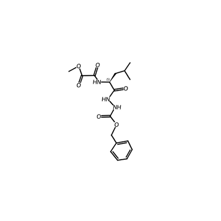 COC(=O)C(=O)N[C@@H](CC(C)C)C(=O)NNC(=O)OCc1ccccc1